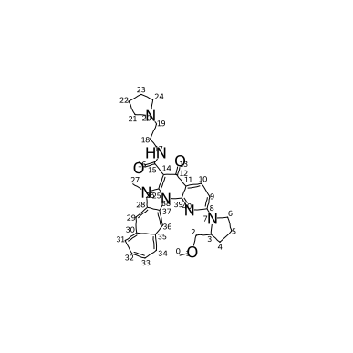 COCC1CCCN1c1ccc2c(=O)c(C(=O)NCCN3CCCC3)c3n(C)c4cc5ccccc5cc4n3c2n1